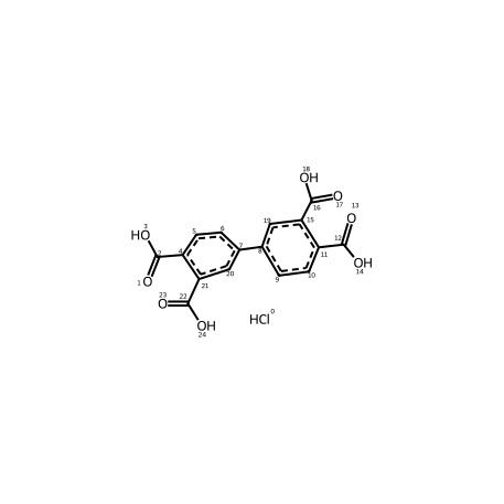 Cl.O=C(O)c1ccc(-c2ccc(C(=O)O)c(C(=O)O)c2)cc1C(=O)O